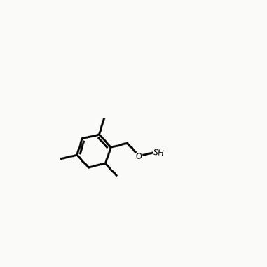 CC1=CC(C)=C(COS)C(C)C1